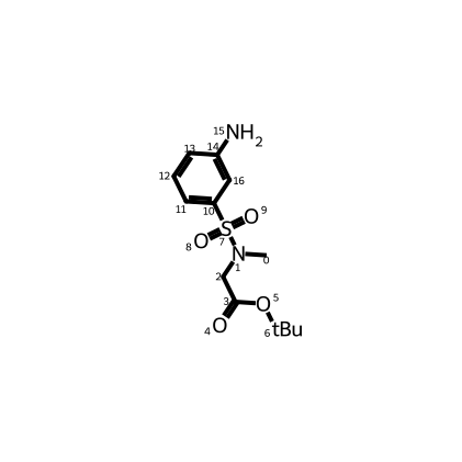 CN(CC(=O)OC(C)(C)C)S(=O)(=O)c1cccc(N)c1